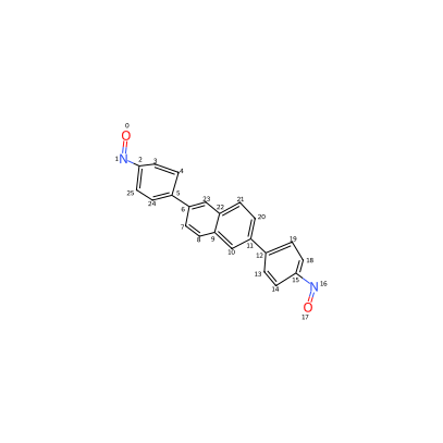 O=Nc1ccc(-c2ccc3cc(-c4ccc(N=O)cc4)ccc3c2)cc1